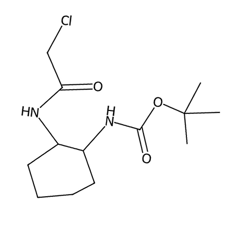 CC(C)(C)OC(=O)NC1CCCCC1NC(=O)CCl